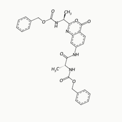 C[C@H](NC(=O)OCc1ccccc1)c1nc2cc(NC(=O)[C@@H](C)NC(=O)OCc3ccccc3)ccc2c(=O)o1